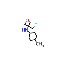 CC1CCC(NC2(CF)COC2)CC1